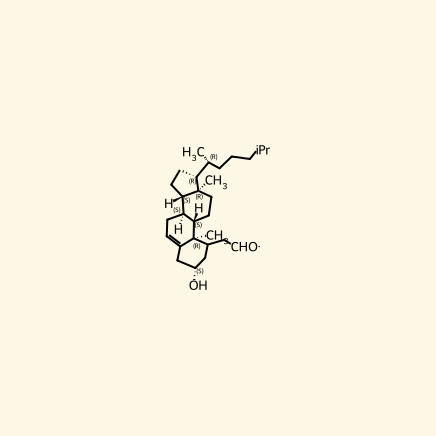 CC(C)CCC[C@@H](C)[C@H]1CC[C@H]2[C@@H]3CC=C4C[C@@H](O)CC(C[C]=O)[C@]4(C)[C@H]3CC[C@]12C